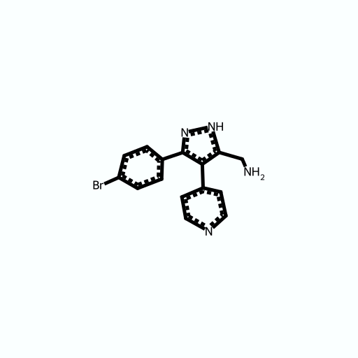 NCc1[nH]nc(-c2ccc(Br)cc2)c1-c1ccncc1